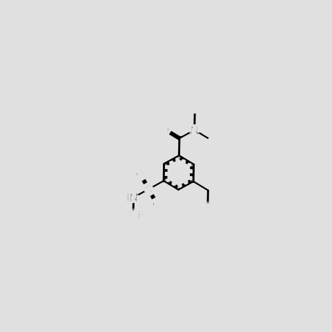 CN(C)C(=O)c1cc(CF)cc(S(=O)(=O)NO)c1